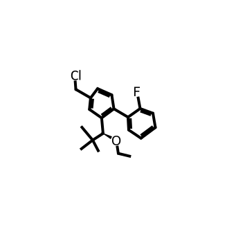 CCO[C@H](c1cc(CCl)ccc1-c1ccccc1F)C(C)(C)C